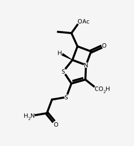 CC(=O)OC(C)C1C(=O)N2C(C(=O)O)=C(SCC(N)=O)S[C@H]12